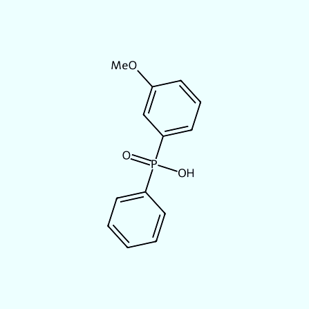 COc1cccc(P(=O)(O)c2ccccc2)c1